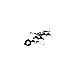 CC(OCc1ccccc1)[C@@H](C(=O)Nc1n[nH]c(=S)s1)C(=O)N(C)N